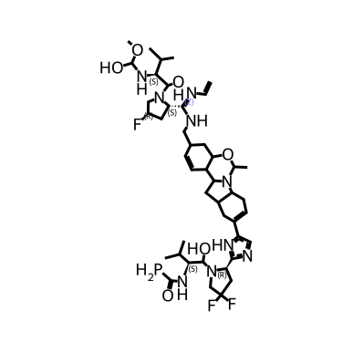 C=C/N=C(\NCC1C=CC2C(C1)OC(C)N1C3CC=C(c4cnc([C@H]5CC(F)(F)CN5C(O)[C@@H](NC(=O)P)C(C)C)[nH]4)CC3CC21)[C@@H]1C[C@@H](F)CN1C(O)[C@@H](NC(O)OC)C(C)C